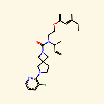 C=C[C@H](C)N(CCOC(=C)/C=C(\C)CC)C(=O)N1CC2(CCN(c3ncccc3F)C2)C1